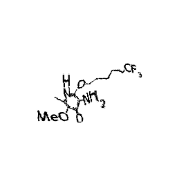 COc1c(C)[nH]c(OCCCCCC(F)(F)F)c(N)c1=O